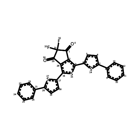 O=C1c2c(-c3ccc(-c4ccccc4)s3)sc(-c3ccc(-c4ccccc4)s3)c2C(=O)C1(F)F